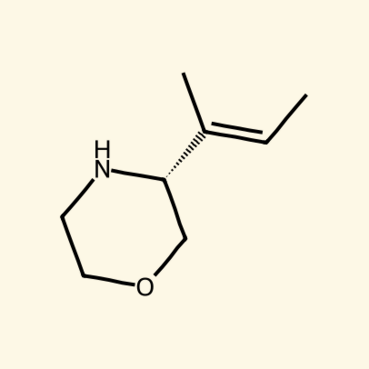 C/C=C(\C)[C@@H]1COCCN1